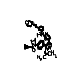 CC(C)Cn1ncc(-c2ccnc(Nc3cccc(CCN4CCOCC4)c3)n2)c1-c1ccc(NC(=O)C2CC2)cc1